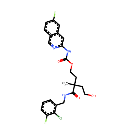 CC(CCO)(CCOC(=O)Nc1cc2cc(F)ccc2cn1)C(=O)NCc1cccc(F)c1Cl